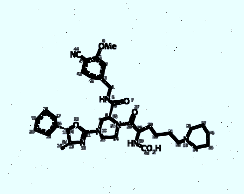 COc1cc(CNC(=O)[C@@H]2CN(C3=N[C@@H](C)[C@H](c4ccccc4)O3)CCN2C(=O)C(CCCCN2CCCCC2)NC(=O)O)ccc1C#N